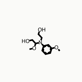 COc1cccc(N(CCO)C(CO)OC)c1